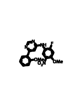 COc1ccccc1-c1cc(Nc2cc([N+](=O)[O-])c(OC)cc2F)ncn1